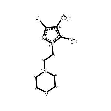 CCc1nn(CCN2CCOCC2)c(N)c1C(=O)O